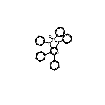 O=P1(c2ccccc2)N(c2ccccc2)c2sc(-c3ccccc3)c(-c3ccccc3)c2N1c1ccccc1